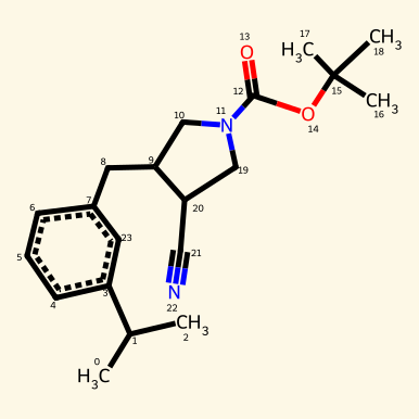 CC(C)c1cccc(CC2CN(C(=O)OC(C)(C)C)CC2C#N)c1